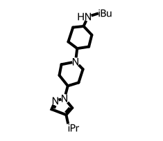 CCC(C)NC1CCC(N2CCC(n3cc(C(C)C)cn3)CC2)CC1